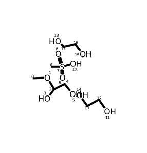 COC(O)CO.CS(=O)(=O)O.OCCO.OCCO